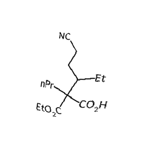 CCCC(C(=O)O)(C(=O)OCC)C(CC)CCC#N